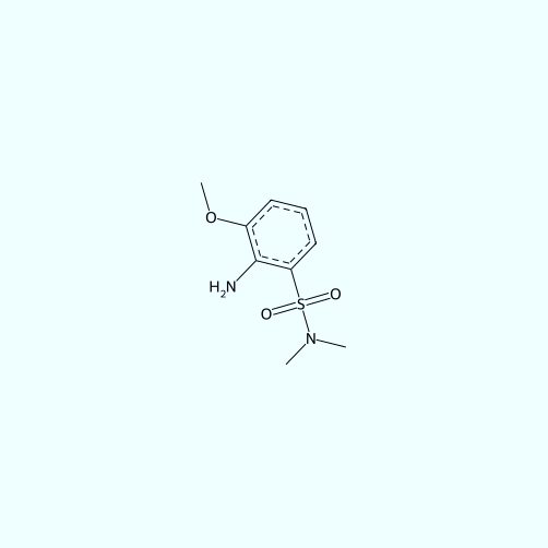 COc1cccc(S(=O)(=O)N(C)C)c1N